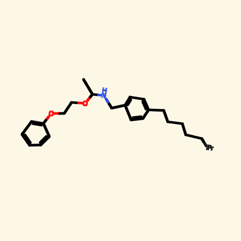 CC(C)CCCCCc1ccc(CNC(C)OCCOc2ccccc2)cc1